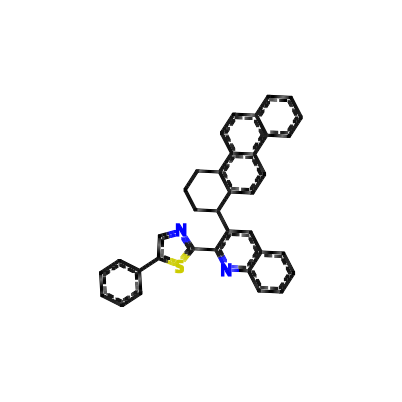 c1ccc(-c2cnc(-c3nc4ccccc4cc3C3CCCc4c3ccc3c4ccc4ccccc43)s2)cc1